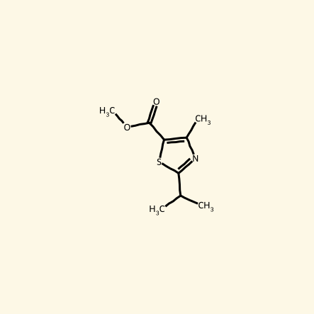 COC(=O)c1sc(C(C)C)nc1C